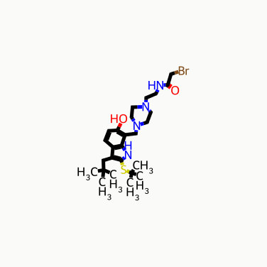 CC(C)(C)Cc1c(SC(C)(C)C)[nH]c2c(CN3CCN(CCNC(=O)CBr)CC3)c(O)ccc12